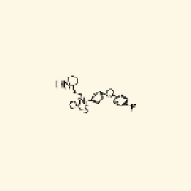 O=C1CSC(c2ccc(Oc3ccc(F)cc3)cc2)N1CCC1CCCCN1